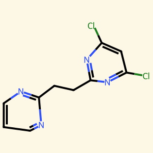 Clc1cc(Cl)nc(CCc2ncccn2)n1